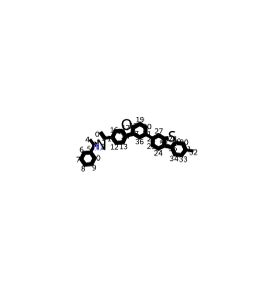 C=C(/N=C(\C)c1ccccc1)c1ccc2c(c1)oc1ccc(-c3ccc4c(c3)sc3cc(C)ccc34)cc12